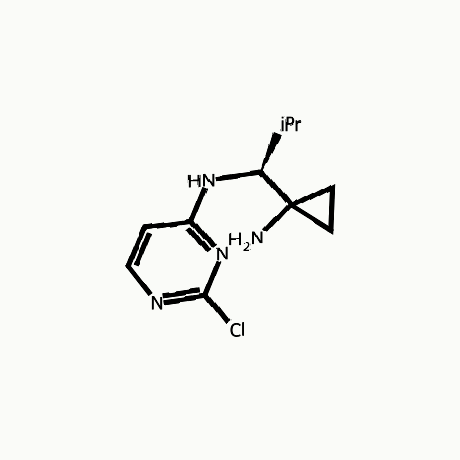 CC(C)[C@H](Nc1ccnc(Cl)n1)C1(N)CC1